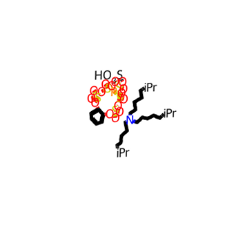 CC(C)CCCCCN(CCCCCC(C)C)CCCCCC(C)C.O=S(=O)(O)OS(=O)(=O)P1S(=O)(=O)OS(=O)(=O)Oc2ccccc2OS(=O)(=O)OS1(=O)=O